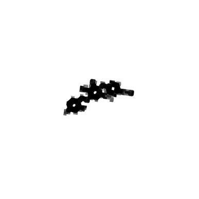 Cc1cc(OCc2ccc(F)cc2F)c(Br)c(=O)n1Cc1cnc(C=O)cn1